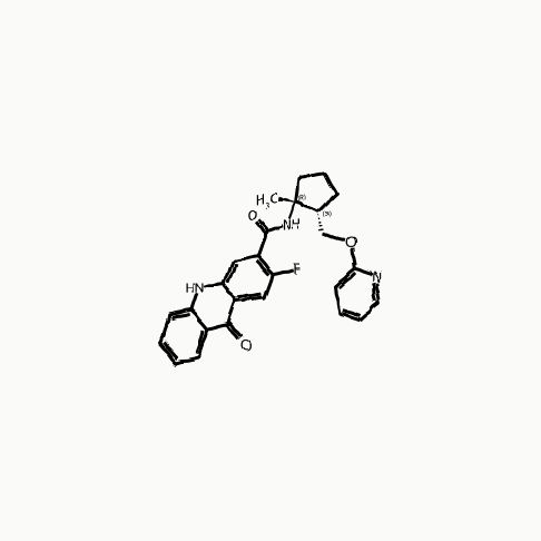 C[C@@]1(NC(=O)c2cc3[nH]c4ccccc4c(=O)c3cc2F)CCC[C@@H]1COc1ccccn1